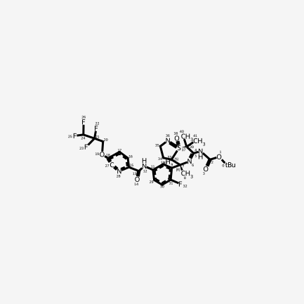 CC(C)(C)OC(=O)NC1=N[C@](C)(c2cc(NC(=O)c3ccc(OCC(F)(F)C(F)F)cn3)ccc2F)[C@@H]2CCN=[S@]2(=O)C1(C)C